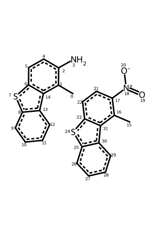 Cc1c(N)ccc2sc3ccccc3c12.Cc1c([N+](=O)[O-])ccc2sc3ccccc3c12